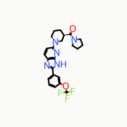 O=C([C@@H]1CCCN(c2ccc3nc(-c4cccc(OC(F)(F)F)c4)[nH]c3n2)C1)N1CCCC1